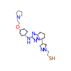 SCCn1cc(-c2cccc3nc(Nc4ccc(OCCN5CCCC5)cc4)nn23)cn1